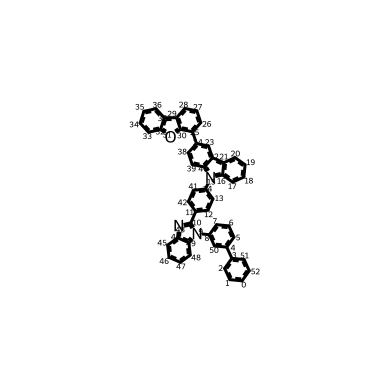 c1ccc(-c2cccc(-n3c(-c4ccc(-n5c6ccccc6c6cc(-c7cccc8c7oc7ccccc78)ccc65)cc4)nc4ccccc43)c2)cc1